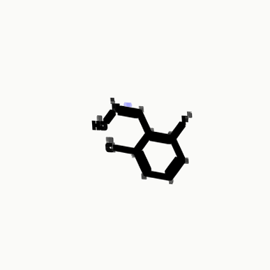 O/N=C\c1c(F)cccc1Cl